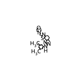 Cc1cc(C)cc(Nc2ncc3c(n2)-c2sc(CN4CCOCC4)nc2CC3)c1